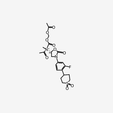 CC(=O)OCOC(=O)[N+](C)(C(C)=O)[C@H]1CN(c2ccc(C3CCS(=O)(=O)CC3)c(F)c2)C(=O)O1